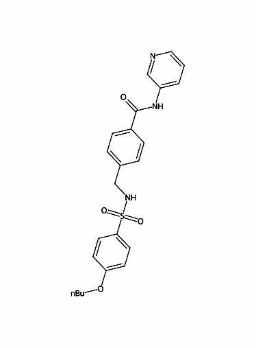 CCCCOc1ccc(S(=O)(=O)NCc2ccc(C(=O)Nc3cccnc3)cc2)cc1